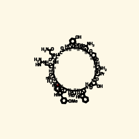 CCCC[C@H]1C(=O)N(C)[C@@H](CCCC)C(=O)N[C@@H](CCCNC(=N)N)C(=O)N[C@H](C(=O)NCC(N)=O)CSCC(=O)N[C@@H](Cc2ccc(O)cc2)C(=O)N(C)[C@@H](C)C(=O)N[C@@H](CC(N)=O)C(=O)N2CCC[C@H]2C(=O)N[C@@H](CN)C(=O)N[C@@H](CC(C)C)C(=O)N2C[C@H](O)C[C@H]2C(=O)N[C@@H](Cc2c[nH]c3ccccc23)C(=O)N[C@@H](CO)C(=O)N[C@@H](Cc2c(-c3cccc(OC)c3)[nH]c3ccccc23)C(=O)N1C